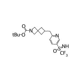 CC(C)(C)OC(=O)N1CC2(CC(Cc3ccc(S(=N)(=O)C(F)(F)F)cn3)C2)C1